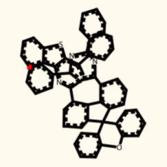 c1ccc(-c2nc(-c3ccccc3)nc(-c3cccc4c3-c3c(-c5nc(-c6ccccc6)c6sc7ccccc7c6n5)cccc3C43c4ccccc4Oc4ccccc43)n2)cc1